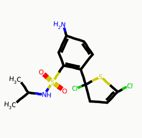 CC(C)NS(=O)(=O)c1cc(N)ccc1C1(Cl)CC=C(Cl)S1